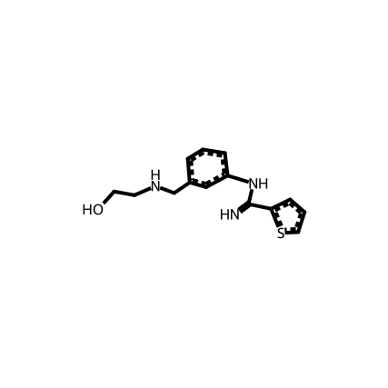 N=C(Nc1cccc(CNCCO)c1)c1cccs1